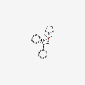 NCN1C2CCC1CC(OC(c1ccccc1)c1ccccc1)C2